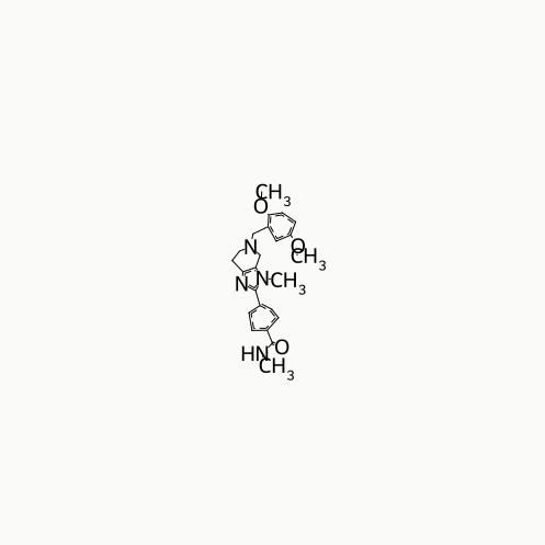 CNC(=O)c1ccc(-c2nc3c(n2C)CN(Cc2cc(OC)ccc2OC)CC3)cc1